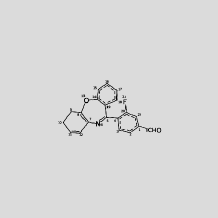 O=Cc1ccc(C2=NC3=C(CCC=C3)Oc3ccccc32)c(F)c1